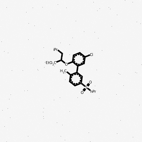 CCCS(=O)(=O)c1ccc(C)c(-c2cc(Cl)ccc2OC(CC(C)C)C(=O)OCC)c1